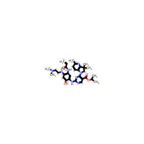 C=CC(=O)Nc1cc(Nc2ncc(C(=O)OC(C)C)c(N3CC(C)(C)c4nc(C)ccc43)n2)c(O)cc1N(C)CCN(C)C